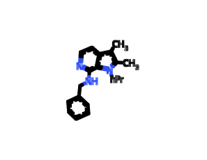 CCCn1c(C)c(C)c2ccnc(NCc3ccccc3)c21